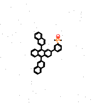 CP(C)(=O)c1cccc(C2C=c3c(-c4ccc5ccccc5c4)c4ccccc4c(-c4ccc5ccccc5c4)c3=CC2)c1